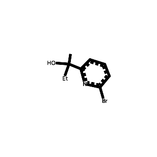 CCC(C)(O)c1cccc(Br)n1